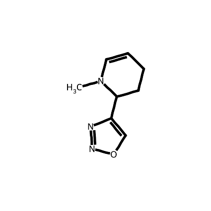 CN1C=CCCC1c1conn1